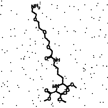 COC(=O)C(CCCCNC(=O)COCCOCCOCCN)NC(C(=O)OC)C(=O)OC